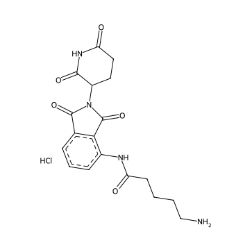 Cl.NCCCCC(=O)Nc1cccc2c1C(=O)N(C1CCC(=O)NC1=O)C2=O